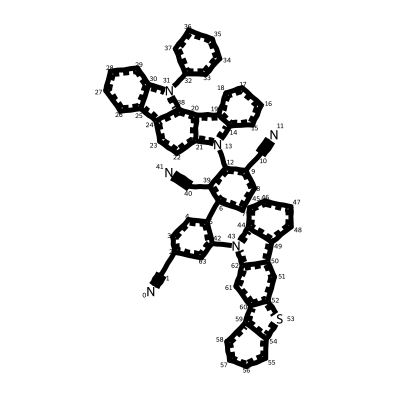 N#Cc1ccc(-c2ccc(C#N)c(-n3c4ccccc4c4c3ccc3c5ccccc5n(-c5ccccc5)c34)c2C#N)c(-n2c3ccccc3c3cc4sc5ccccc5c4cc32)c1